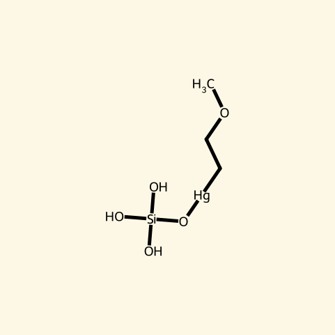 COC[CH2][Hg][O][Si](O)(O)O